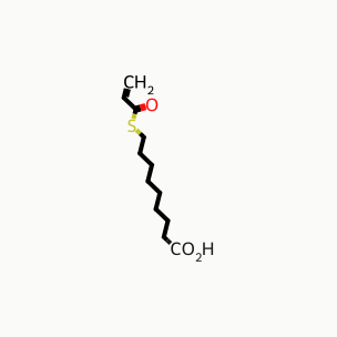 C=CC(=O)SCCCCCCCCC(=O)O